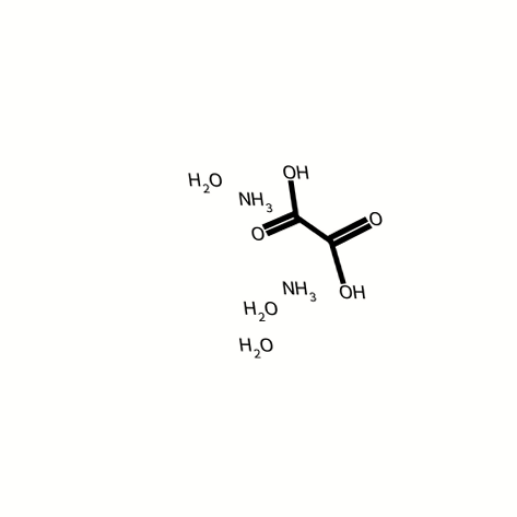 N.N.O.O.O.O=C(O)C(=O)O